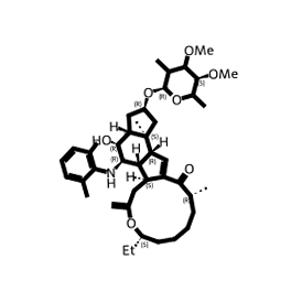 C=C1C[C@@H]2C(=C[C@@H]3[C@H]2[C@@H](Nc2c(C)cccc2C)[C@H](O)[C@@H]2C[C@@H](O[C@@H]4OC(C)[C@H](OC)C(OC)C4C)C[C@@]32C)C(=O)[C@H](C)CCCC[C@H](CC)O1